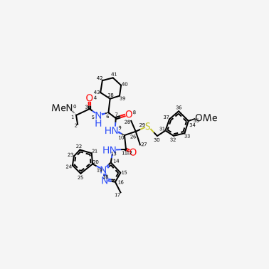 CN[C@@H](C)C(=O)N[C@H](C(=O)N[C@H](C(=O)Nc1cc(C)nn1-c1ccccc1)C(C)(C)SCc1ccc(OC)cc1)C1CCCCC1